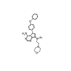 CC(=O)N(CCN1CCOCC1)n1cc(-c2ccc(Oc3ccccc3)cc2)c2c(N)ncnc21